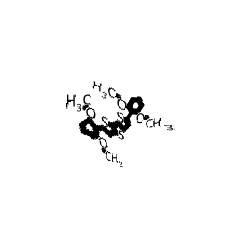 CCOc1cccc(OCC)c1-c1cc2sc3cc(-c4c(OCC)cccc4OCC)sc3c2s1